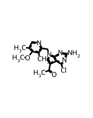 COc1c(C)cnc(Cn2cc(C(C)=O)c3c(Cl)nc(N)nc32)c1C